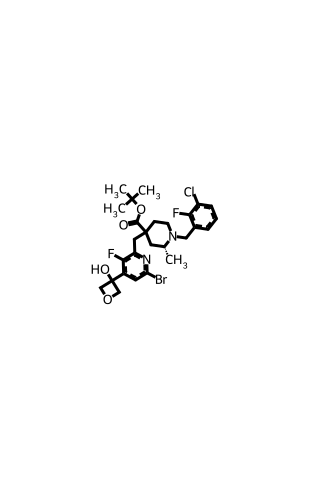 C[C@@H]1CC(Cc2nc(Br)cc(C3(O)COC3)c2F)(C(=O)OC(C)(C)C)CCN1Cc1cccc(Cl)c1F